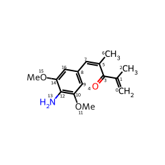 C=C(C)C(=O)C(C)=Cc1cc(OC)c(N)c(OC)c1